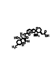 CC1=C[C@H]2O[C@@H]3C[C@@H](OC(=O)/C=C\C=C\C4([C@H](C)O)OCC/C(=C\C(=O)O)[C@@H]4O)[C@](C)([C@@]2(CO)CC1)[C@]31CO1